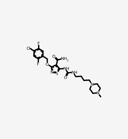 CN1CCN(CCCCNC(=O)Nc2snc(OCc3cc(F)c(Cl)cc3F)c2C(N)=O)CC1